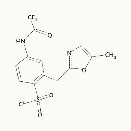 Cc1cnc(Cc2cc(NC(=O)C(F)(F)F)ccc2S(=O)(=O)Cl)o1